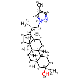 CC[C@]12CC[C@H]3[C@@H](CC[C@@H]4C[C@](C)(O)CC[C@@H]43)[C@@H]1CCC2[C@H](C)Cn1cc(C#N)cn1